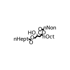 CCCCCCCCCC(=O)OC(CCCCCCCC)(CCCOC(=O)CCCCCCC)C(=O)O